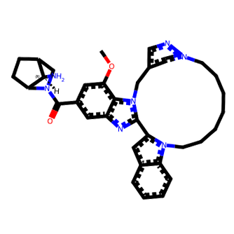 COc1cc(C(=O)N2CC3CCC2[C@@H]3N)cc2nc3n(c12)Cc1cnn(c1)CCCCCCCn1c-3cc2ccccc21